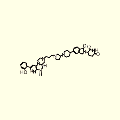 O=C1CCC(N2Cc3cc(C4CCN(C5CCN(CCCN6CCN7c8cc(-c9ccccc9O)nnc8NC[C@H]7C6)C5)CC4)ccc3C2=O)C(=O)N1